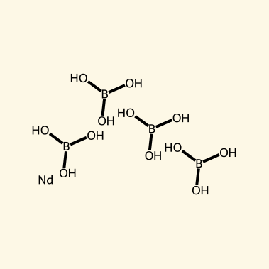 OB(O)O.OB(O)O.OB(O)O.OB(O)O.[Nd]